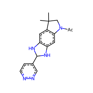 CC(=O)N1CC(C)(C)c2cc3c(cc21)NC(c1ccnnc1)N3